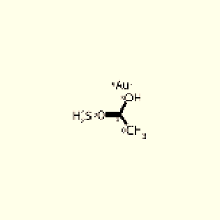 CC(=O)O.S.[Au]